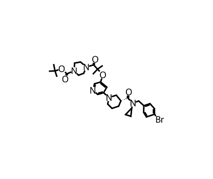 CC(C)(C)OC(=O)N1CCN(C(=O)C(C)(C)Oc2cncc(N3CCC[C@@H](C(=O)N(Cc4ccc(Br)cc4)C4CC4)C3)c2)CC1